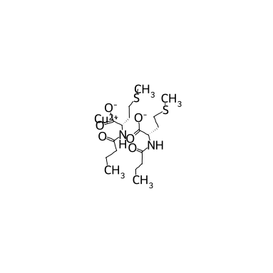 CCCC(=O)N[C@@H](CCSC)C(=O)[O-].CCCC(=O)N[C@@H](CCSC)C(=O)[O-].[Cu+2]